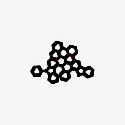 c1ccc(-n2c3ccccc3c3c(N(c4ccccc4-c4cccc5c4sc4ccccc45)c4ccccc4-c4cccc5cccc(C6CCCCC6)c45)cccc32)cc1